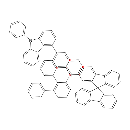 c1ccc(-c2ccccc2-c2c(-c3ccccc3)cccc2N(c2ccc(-c3cccc4c3c3ccccc3n4-c3ccccc3)cc2)c2ccc3c(c2)C2(c4ccccc4-c4ccccc42)c2ccccc2-3)cc1